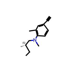 C#Cc1ccc(N(C)C[C@@H](C)CC)c(C)c1